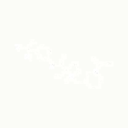 CC(=O)N1CCCC(CS(=O)(=O)C(C)(C)C(=O)Nc2cc(C(C)(C)C)on2)C1